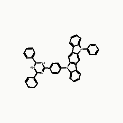 C1=CC(C2N=C(c3ccc(-n4c5ccccc5c5cc6c(cc54)c4ccccc4n6-c4ccccc4)cc3)NC(c3ccccc3)N2)=CCC1